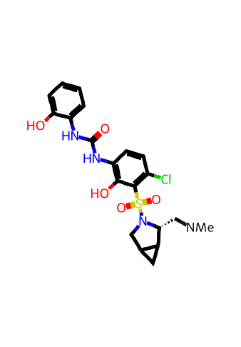 CNC[C@@H]1C2CC2CN1S(=O)(=O)c1c(Cl)ccc(NC(=O)Nc2ccccc2O)c1O